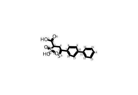 O=C(O)C(CC(=S)c1ccc(-c2ccccc2)cc1)S(=O)(=O)O